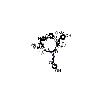 CO[C@H]1C[C@@H](C)C/C(C)=C/[C@@H](C/C=C/CCC(=O)N2CCC(O)CC2)C(=O)C[C@H](O)[C@@H](C)[C@@H](/C(C)=C/[C@@H]2CC[C@@H](O)[C@H](OC)C2)OC(=O)[C@@H]2CCCCN2C(=O)C(=O)[C@]2(O)O[C@H]1[C@@H](OC)C[C@H]2C